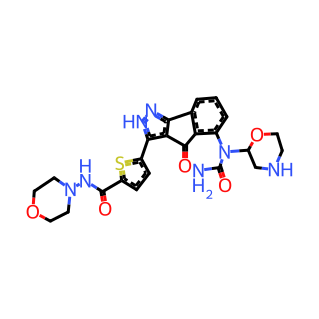 NC(=O)N(c1cccc2c1C(=O)c1c-2n[nH]c1-c1ccc(C(=O)NN2CCOCC2)s1)C1CNCCO1